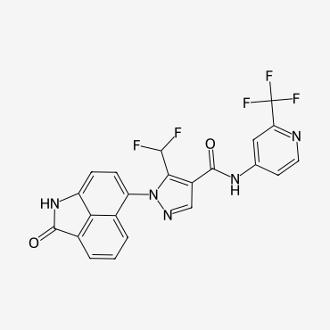 O=C(Nc1ccnc(C(F)(F)F)c1)c1cnn(-c2ccc3c4c(cccc24)C(=O)N3)c1C(F)F